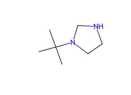 CC(C)(C)N1CCNC1